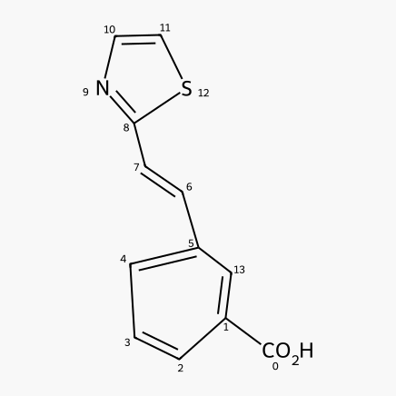 O=C(O)c1cccc(/C=C/c2nccs2)c1